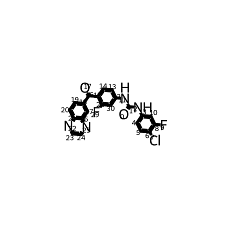 O=C(Nc1ccc(Cl)c(F)c1)Nc1ccc(C(=O)c2ccc3nccnc3c2)c(F)c1